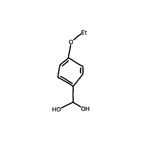 CCOc1ccc(C(O)O)cc1